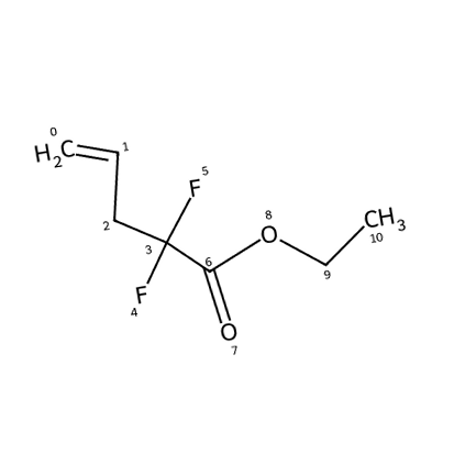 C=CCC(F)(F)C(=O)OCC